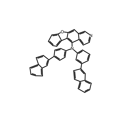 c1cc(-c2ccc3ccccc3c2)cc(N(c2ccc(-c3ccc4ccccc4c3)cc2)c2c3ccncc3cc3oc4ccccc4c23)c1